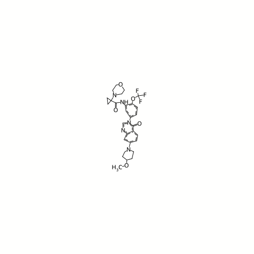 COC1CCN(c2ccc3c(=O)n(-c4ccc(OC(F)(F)F)c(NC(=O)C5(N6CCOCC6)CC5)c4)cnc3c2)CC1